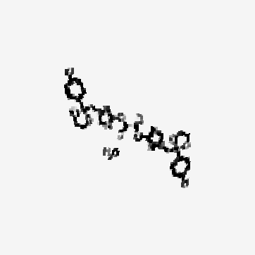 O.O=C(Oc1ncn(CC2(c3ccc(Cl)cc3)OCCO2)n1)C(=O)Oc1ncn(CC2(c3ccc(Cl)cc3)OCCO2)n1